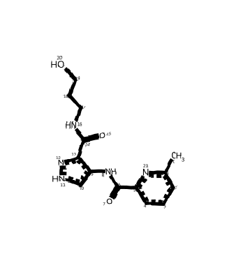 Cc1cccc(C(=O)Nc2c[nH]nc2C(=O)NCCCO)n1